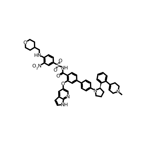 CN1CC=C(c2ccccc2[C@H]2CCCN2c2ccc(-c3ccc(C(=O)NS(=O)(=O)c4ccc(NCC5CCOCC5)c([N+](=O)[O-])c4)c(Oc4cnc5[nH]ccc5c4)c3)cc2)CC1